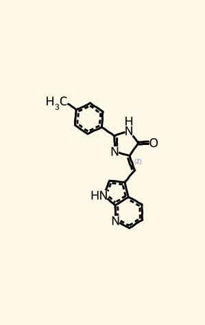 Cc1ccc(C2=N/C(=C\c3c[nH]c4ncccc34)C(=O)N2)cc1